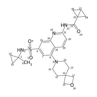 CC1(NS(=O)(=O)c2cc(N3CCC4(CC3)COC4)c3ccc(NC(=O)C45CC4C5)nc3c2)CC1